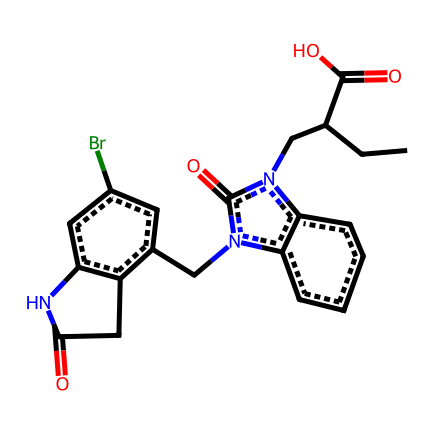 CCC(Cn1c(=O)n(Cc2cc(Br)cc3c2CC(=O)N3)c2ccccc21)C(=O)O